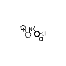 CC(c1ccc(Cl)c(Cl)c1)N(C)C1CCCCC1N1CCCC1